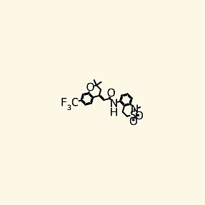 CN1c2cccc(NC(=O)C=C3CC(C)(C)Oc4cc(C(F)(F)F)ccc43)c2CCS1(=O)=O